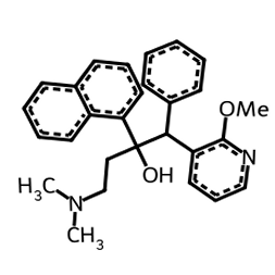 COc1ncccc1C(c1ccccc1)C(O)(CCN(C)C)c1cccc2ccccc12